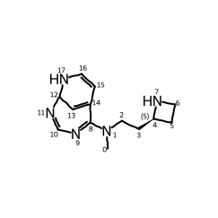 CN(CC[C@@H]1CCN1)C1=NC=NC2C=C1C=CN2